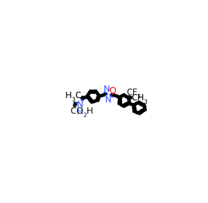 CC(NCC(=O)O)c1ccc(-c2noc(C3=CC=C(c4ccccc4)C(C)(C(F)(F)F)C3)n2)cc1